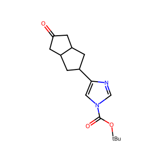 CC(C)(C)OC(=O)n1cnc(C2CC3CC(=O)CC3C2)c1